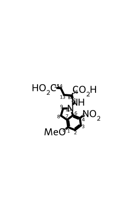 COc1ccc([N+](=O)[O-])c2c1CCN2N[C@@H](CCC(=O)O)C(=O)O